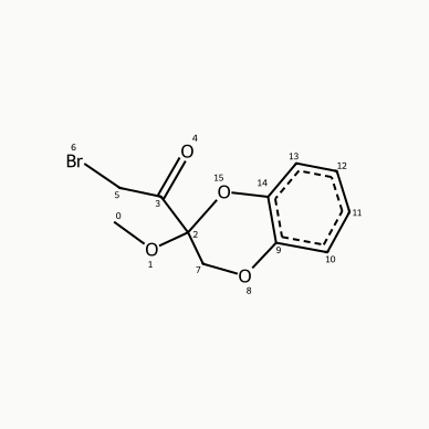 COC1(C(=O)CBr)COc2ccccc2O1